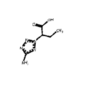 CCC(C(=O)O)n1nnc(N)n1